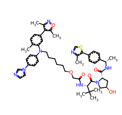 Cc1ccc(-c2c(C)noc2C)cc1N(CCCCCCOCC(=O)N[C@H](C(=O)N1C[C@H](O)C[C@H]1C(=O)N[C@@H](C)c1ccc(-c2scnc2C)cc1)C(C)(C)C)c1ccc(-n2ccnc2)cc1